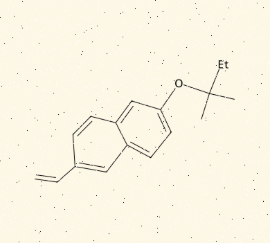 C=Cc1ccc2cc(OC(C)(C)CC)ccc2c1